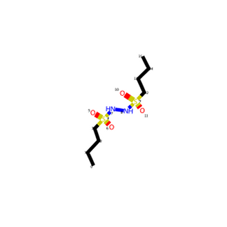 CCCCS(=O)(=O)NNS(=O)(=O)CCCC